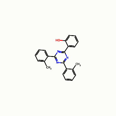 Cc1ccccc1-c1nc(-c2ccccc2C)nc(-c2ccccc2O)n1